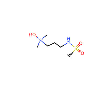 C[N+](C)(O)CCCN[S](=O)(=O)[Rf]